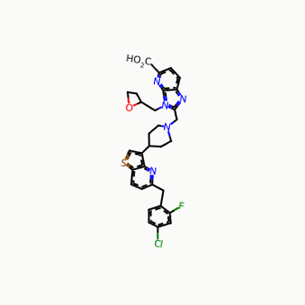 O=C(O)c1ccc2nc(CN3CCC(c4csc5ccc(Cc6ccc(Cl)cc6F)nc45)CC3)n(CC3CCO3)c2n1